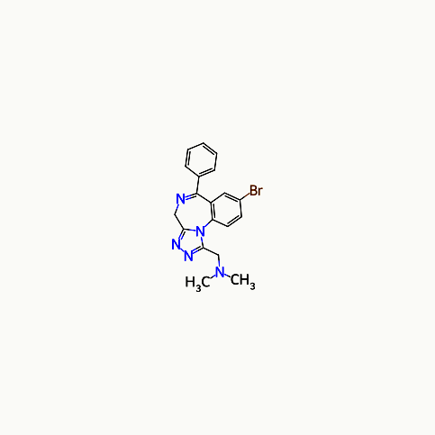 CN(C)Cc1nnc2n1-c1ccc(Br)cc1C(c1ccccc1)=NC2